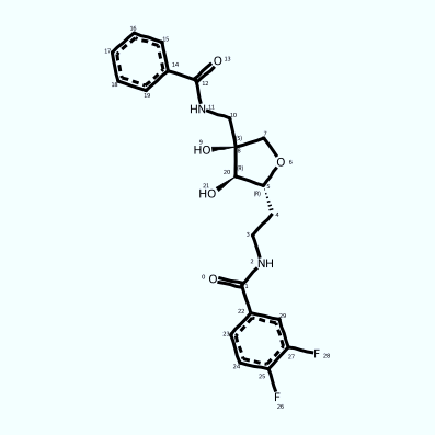 O=C(NCC[C@H]1OC[C@@](O)(CNC(=O)c2ccccc2)[C@@H]1O)c1ccc(F)c(F)c1